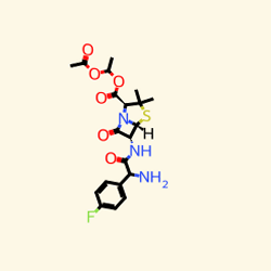 CC(=O)OC(C)OC(=O)[C@@H]1N2C(=O)[C@@H](NC(=O)C(N)c3ccc(F)cc3)[C@H]2SC1(C)C